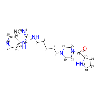 N#CN=C(NCCCCCN1CCN(C(=O)C2CCCN2)CC1)Nc1ccncc1